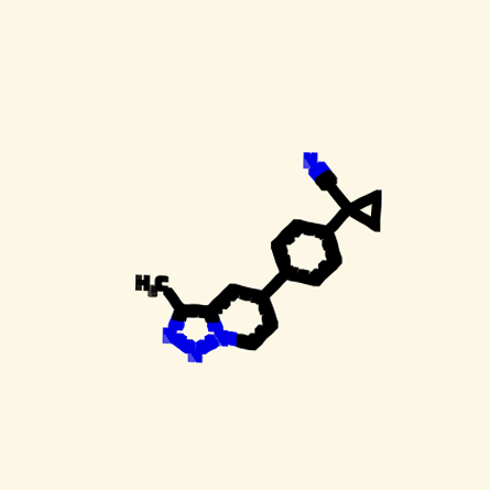 Cc1nnn2ccc(-c3ccc(C4(C#N)CC4)cc3)cc12